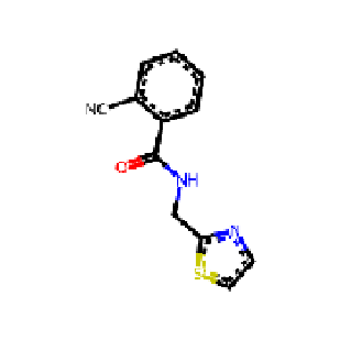 N#Cc1ccccc1C(=O)NCc1nccs1